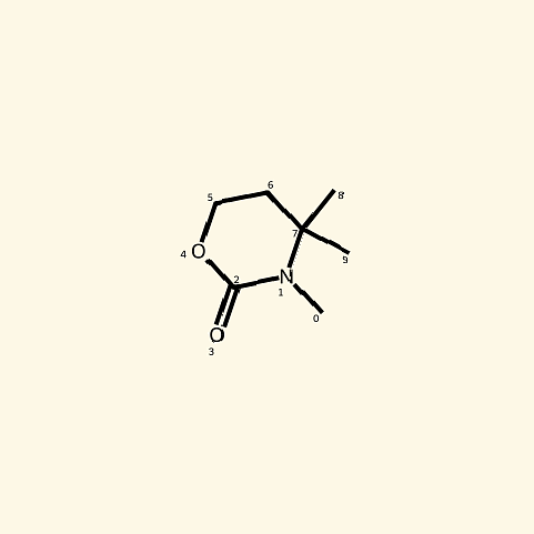 CN1C(=O)OCCC1(C)C